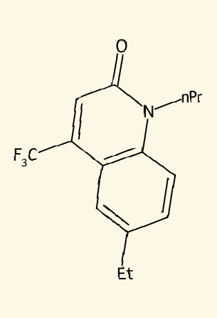 CCCn1c(=O)cc(C(F)(F)F)c2cc(CC)ccc21